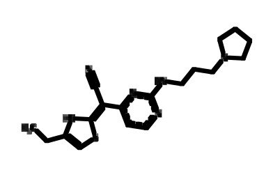 CCC1=CSC(=C(C#N)c2ccnc(NCCCN3CCCC3)n2)N1